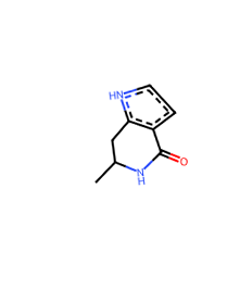 CC1Cc2[nH]ccc2C(=O)N1